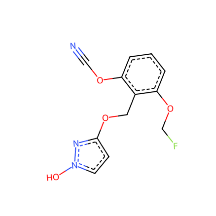 N#COc1cccc(OCF)c1COc1ccn(O)n1